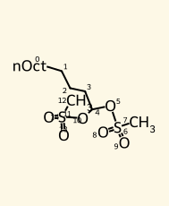 CCCCCCCCCCCC(OS(C)(=O)=O)OS(C)(=O)=O